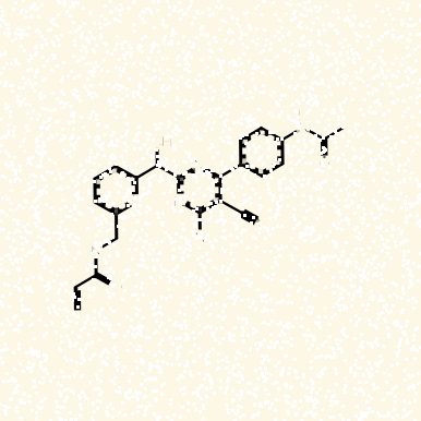 C=CC(=O)NCc1cccc(C(S)c2nc(N)c(C#N)c(-c3ccc(NC(C)=O)cc3)n2)n1